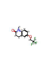 CN1C(=O)CCc2cc(OCC(F)(F)F)ccc21